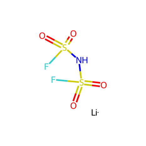 O=S(=O)(F)NS(=O)(=O)F.[Li]